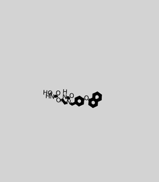 O=C(NO)O[C@@H]1CN(Cc2ccc(Oc3cccc4ccccc34)cc2)C(=O)N1